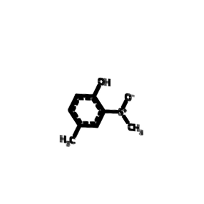 Cc1ccc(O)c([S+](C)[O-])c1